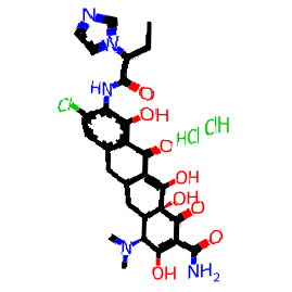 CCC(C(=O)Nc1c(Cl)cc2c(c1O)C(=O)C1=C(O)[C@]3(O)C(=O)C(C(N)=O)=C(O)[C@@H](N(C)C)C3CC1C2)n1ccnc1.Cl.Cl